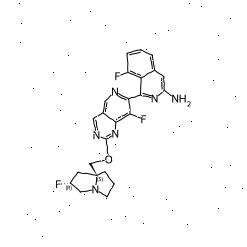 Nc1cc2cccc(F)c2c(-c2ncc3cnc(OC[C@@]45CCCN4C[C@H](F)C5)nc3c2F)n1